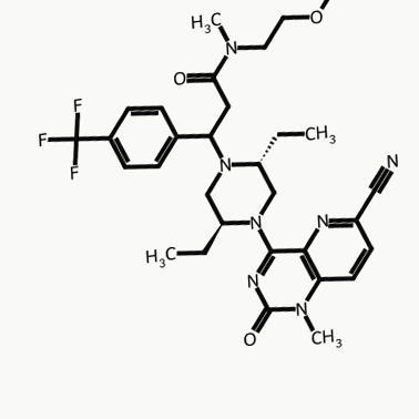 CC[C@H]1CN(C(CC(=O)N(C)CCOC)c2ccc(C(F)(F)F)cc2)[C@H](CC)CN1c1nc(=O)n(C)c2ccc(C#N)nc12